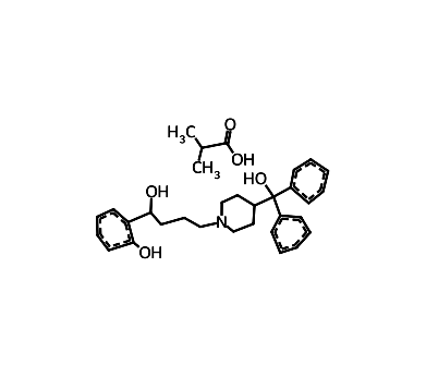 CC(C)C(=O)O.Oc1ccccc1C(O)CCCN1CCC(C(O)(c2ccccc2)c2ccccc2)CC1